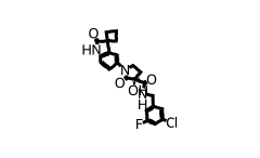 O=C1Nc2ccc(N3CC[C@](O)(C(=O)NCc4cc(F)cc(Cl)c4)C3=O)cc2C12CCC2